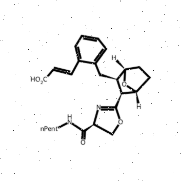 CCCCCNC(=O)[C@@H]1COC([C@H]2[C@@H](Cc3ccccc3C=CC(=O)O)[C@@H]3CC[C@H]2O3)=N1